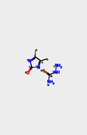 CC1=NC(=O)N=C1C.NNC(N)=S